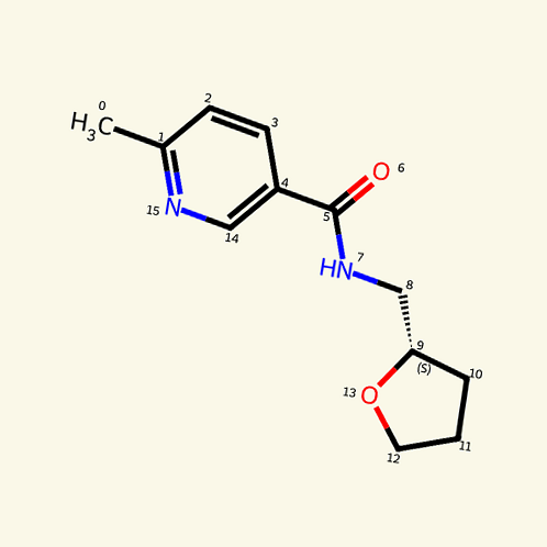 Cc1ccc(C(=O)NC[C@@H]2CCCO2)cn1